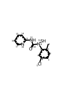 Cc1ccc(Cl)cc1N(S)C(=O)Nc1ccccn1